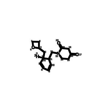 [2H][C@]1(CC2CCO2)C=CC=CC1CN1CCC(=O)CC1=O